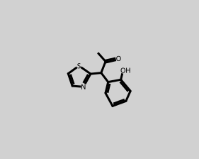 CC(=O)C(c1nccs1)c1ccccc1O